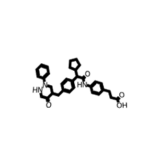 O=C(O)CCc1ccc(NC(=O)C(c2ccc(CC3CN(c4ccccc4)NCC3=O)cc2)C2CCCC2)cc1